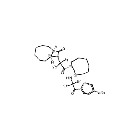 CCCCc1ccc(C(=O)C(CC)(CC)N[C@H]2CCCCCC[C@H]2C(=O)C(CC)(CCC)N2C(=O)[C@@H]3CCCCCC[C@@H]32)cc1